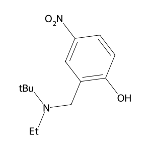 CCN(Cc1cc([N+](=O)[O-])ccc1O)C(C)(C)C